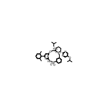 Cc1cccc(C)c1-c1cc2nc(n1)NS(=O)(=O)c1cccc(c1)CN1[C@@H](c3ncc(OC(C)C)cn3)CC[C@@H](CC(C)C)[C@H]1CO2